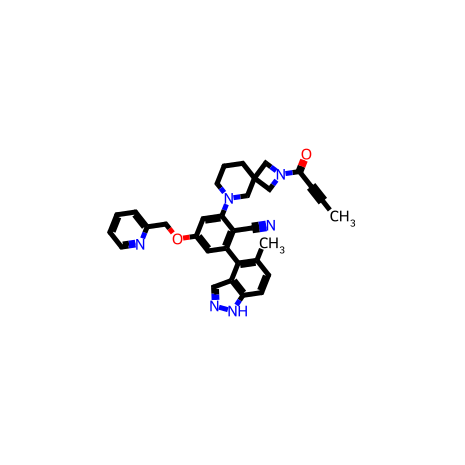 CC#CC(=O)N1CC2(CCCN(c3cc(OCc4ccccn4)cc(-c4c(C)ccc5[nH]ncc45)c3C#N)C2)C1